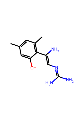 Cc1cc(C)c(/C(N)=C/N=C(N)N)c(O)c1